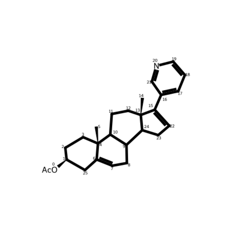 CC(=O)O[C@H]1CC[C@@]2(C)C(=CCC3C2CC[C@]2(C)C(c4cccnc4)=CCC32)C1